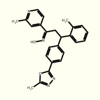 Cc1cc(C(CC(c2ccc(-c3nnc(C)o3)cc2)c2ccccc2C)=NO)ccn1